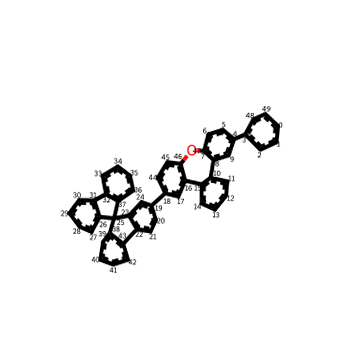 c1ccc(-c2ccc3c(c2)-c2ccccc2-c2cc(-c4ccc5c(c4)C4(c6ccccc6-c6ccccc64)c4ccccc4-5)ccc2O3)cc1